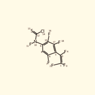 FC(F)=C(F)c1c(F)cc(N(F)C(=S)Cl)c(F)c1F